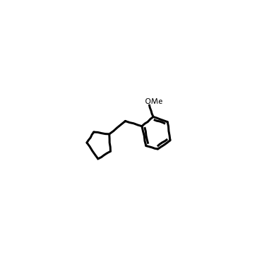 COc1ccccc1CC1CCCC1